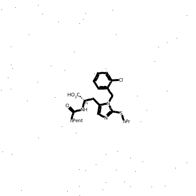 CCCCCC(=O)N[C@@H](Cc1cnc(SCCC)n1Cc1ccccc1Cl)C(=O)O